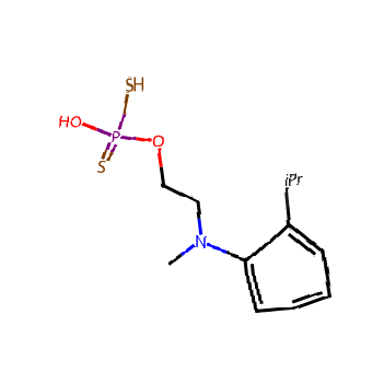 CC(C)c1ccccc1N(C)CCOP(O)(=S)S